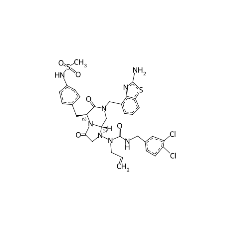 C=CCN(C(=O)NCc1ccc(Cl)c(Cl)c1)N1CC(=O)N2[C@@H](Cc3ccc(NS(C)(=O)=O)cc3)C(=O)N(Cc3cccc4sc(N)nc34)C[C@@H]21